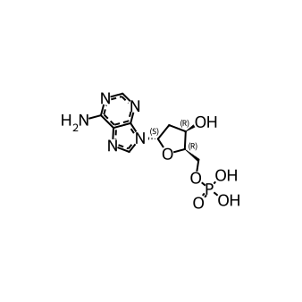 Nc1ncnc2c1ncn2[C@@H]1C[C@@H](O)[C@@H](COP(=O)(O)O)O1